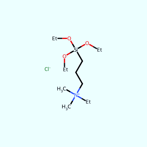 CCO[Si](CCC[N+](C)(C)CC)(OCC)OCC.[Cl-]